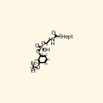 CCCCCCCC(=O)NCCOP(=O)(O)Oc1cccc(OC(CC)CC)c1